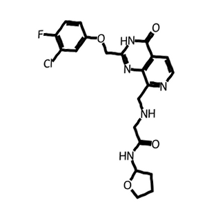 O=C(CNCc1nccc2c(=O)[nH]c(COc3ccc(F)c(Cl)c3)nc12)NC1CCCO1